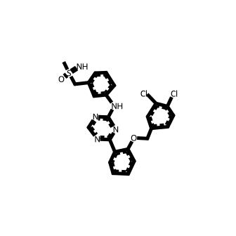 CS(=N)(=O)Cc1cccc(Nc2ncnc(-c3ccccc3OCc3ccc(Cl)c(Cl)c3)n2)c1